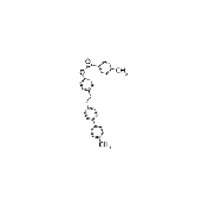 Cc1ccc(-c2ccc(CCc3ccc(OC4OC4c4ccc(C)cc4)cc3)cc2)cc1